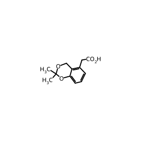 CC1(C)OCc2c(CC(=O)O)cccc2O1